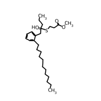 CCCCCCCCCCCCc1ccccc1C[C@@](O)(CCC)SCCC(=O)OC